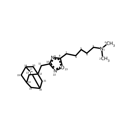 CN(C)CCCC[CH]c1nc(CC23CC4CC(CC(C4)C2)C3)no1